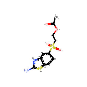 CC(=O)OCCS(=O)(=O)c1ccc2sc(N)nc2c1